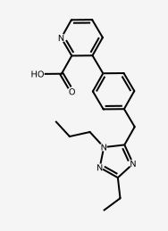 CCCn1nc(CC)nc1Cc1ccc(-c2cccnc2C(=O)O)cc1